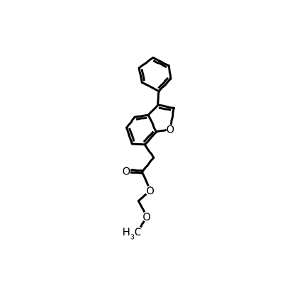 COCOC(=O)Cc1cccc2c(-c3ccccc3)coc12